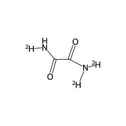 [2H]NC(=O)C(=O)N([2H])[2H]